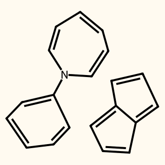 C1=CC2=CC=CC2=C1.C1=CC=CN(c2ccccc2)C=C1